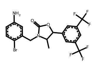 CC1C(c2cc(C(F)(F)F)cc(C(F)(F)F)c2)OC(=O)N1Cc1cc(N)ccc1Br